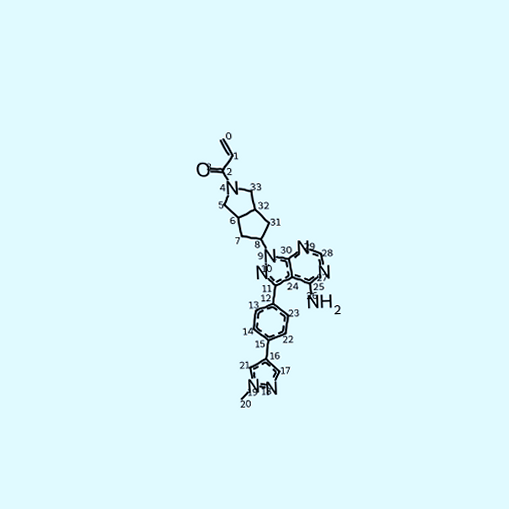 C=CC(=O)N1CC2CC(n3nc(-c4ccc(-c5cnn(C)c5)cc4)c4c(N)ncnc43)CC2C1